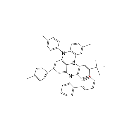 Cc1ccc(-c2cc3c4c(c2)N(c2ccccc2-c2ccccc2)c2ccc(C(C)(C)C)cc2B4c2cc(C)ccc2N3c2ccc(C)cc2)cc1